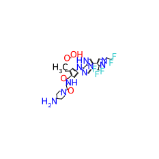 CCc1cc(Nc2nccn3c(-c4cn(CC(F)F)nc4C(F)(F)F)cnc23)ccc1C(=O)NCC(=O)N1CCC(N)CC1.O=CO